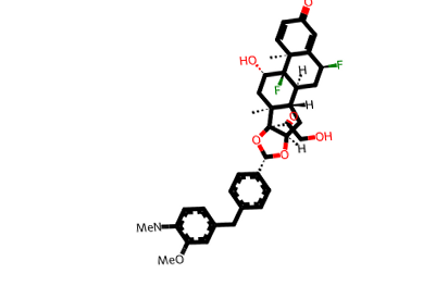 CNc1ccc(Cc2ccc([C@H]3O[C@@H]4C[C@H]5[C@@H]6C[C@H](F)C7=CC(=O)C=C[C@]7(C)[C@@]6(F)[C@@H](O)C[C@]5(C)[C@]4(C(=O)CO)O3)cc2)cc1OC